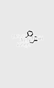 NC(Cc1c[nH]cn1)C(=O)O.O=C(O)Cc1ccccc1